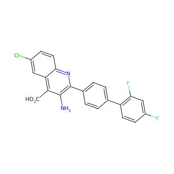 Nc1c(-c2ccc(-c3ccc(F)cc3F)cc2)nc2ccc(Cl)cc2c1C(=O)O